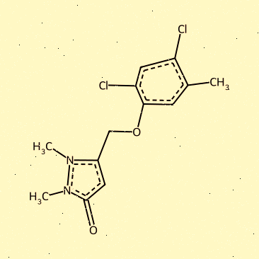 Cc1cc(OCc2cc(=O)n(C)n2C)c(Cl)cc1Cl